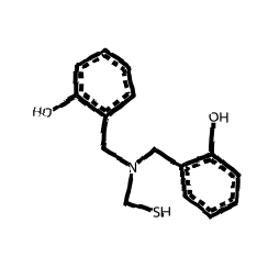 Oc1ccccc1CN(CS)Cc1ccccc1O